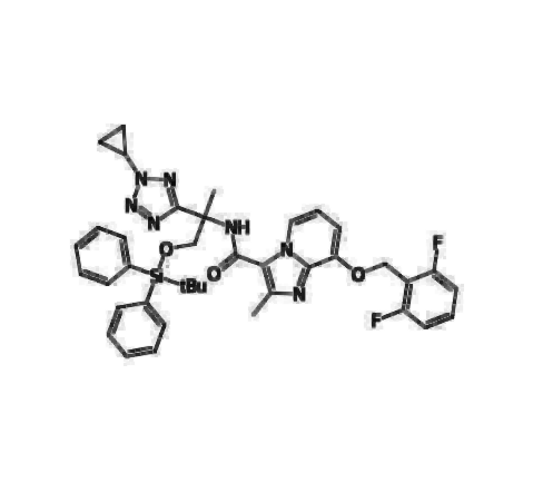 Cc1nc2c(OCc3c(F)cccc3F)cccn2c1C(=O)NC(C)(CO[Si](c1ccccc1)(c1ccccc1)C(C)(C)C)c1nnn(C2CC2)n1